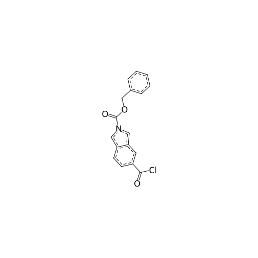 O=C(Cl)c1ccc2cn(C(=O)OCc3ccccc3)cc2c1